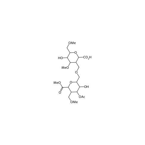 COCC1OC(C(=O)O)C(COCC2OC(C(=O)OC)C(COC)C(OC(C)=O)C2O)C(OC)C1O